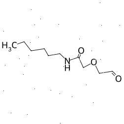 CCCCCCNC(=O)COCC=O